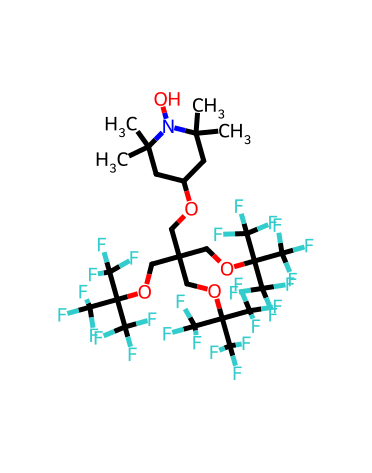 CC1(C)CC(OCC(COC(C(F)(F)F)(C(F)(F)F)C(F)(F)F)(COC(C(F)(F)F)(C(F)(F)F)C(F)(F)F)COC(C(F)(F)F)(C(F)(F)F)C(F)(F)F)CC(C)(C)N1O